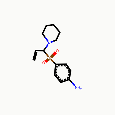 C=CC(N1CCCCC1)S(=O)(=O)c1ccc(N)cc1